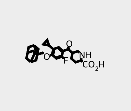 O=C(c1cc(C2CC2)c(OCC23CC4CC(CC(C4)C2)C3)cc1F)C1CCC(C(=O)O)NC1